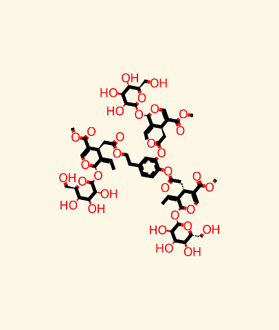 C/C=C1\[C@H](O[C@@H]2O[C@H](CO)[C@@H](O)[C@H](O)[C@H]2O)OC=C(C(=O)OC)[C@H]1CC(=O)OCCc1ccc(OC(=O)C[C@@H]2C(C(=O)OC)=CO[C@@H](O[C@@H]3O[C@H](CO)[C@@H](O)[C@H](O)[C@H]3O)/C2=C\C)c(OC(=O)C[C@@H]2C(C(=O)OC)=CO[C@@H](O[C@@H]3O[C@H](CO)[C@@H](O)[C@H](O)[C@H]3O)/C2=C/C)c1